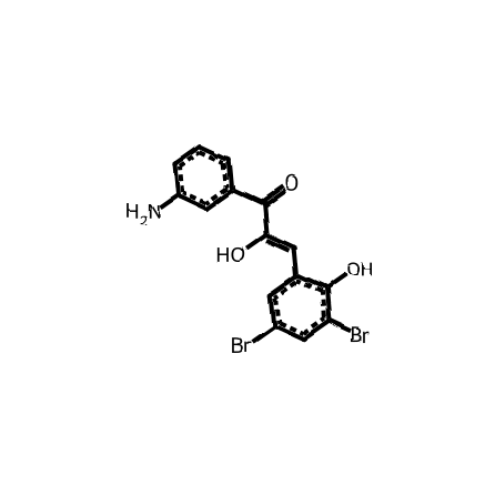 Nc1cccc(C(=O)C(O)=Cc2cc(Br)cc(Br)c2O)c1